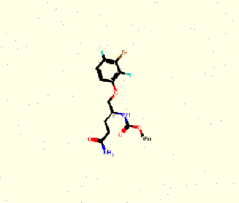 CC(C)(C)OC(=O)N[C@@H](CCC(N)=O)COc1ccc(F)c(Br)c1F